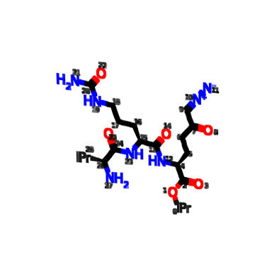 CC(C)OC(=O)[C@H](CCC(=O)C=[N+]=[N-])NC(=O)[C@H](CCCNC(N)=O)NC(=O)[C@@H](N)C(C)C